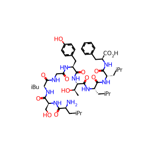 CC[C@H](C)[C@H](NC(=O)[C@H](CO)NC(=O)[C@@H](N)CC(C)C)C(=O)NCC(=O)N[C@@H](Cc1ccc(O)cc1)C(=O)N[C@H](C(=O)N[C@@H](CC(C)C)C(=O)N[C@@H](CC(C)C)C(=O)N[C@@H](Cc1ccccc1)C(=O)O)[C@@H](C)O